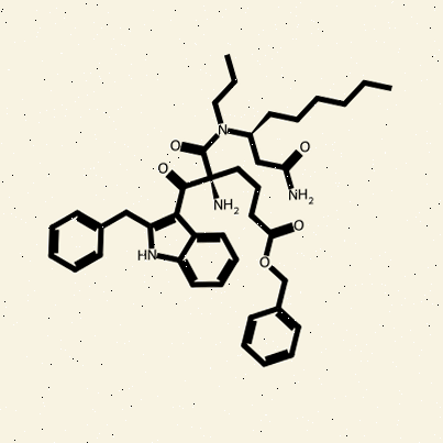 CCCCCC[C@@H](CC(N)=O)N(CCC)C(=O)[C@](N)(CCCC(=O)OCc1ccccc1)C(=O)c1c(Cc2ccccc2)[nH]c2ccccc12